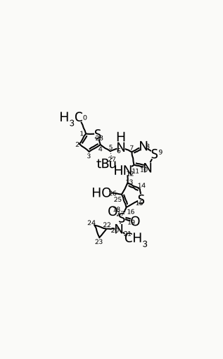 Cc1ccc([C@H](Nc2nsnc2Nc2csc(S(=O)(=O)N(C)C3CC3)c2O)C(C)(C)C)s1